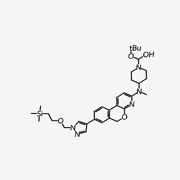 CN(c1ccc2c(n1)OCc1cc(-c3cnn(COCC[Si](C)(C)C)c3)ccc1-2)C1CCN(C(O)OC(C)(C)C)CC1